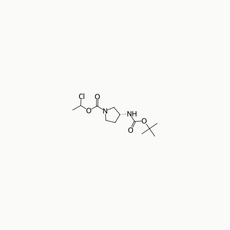 CC(Cl)OC(=O)N1CC[C@@H](NC(=O)OC(C)(C)C)C1